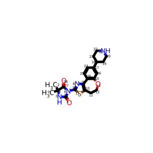 CC1(C)NC(=O)N(c2nc3c(s2)CCOc2cc(C4CCNCC4)ccc2-3)C1=O